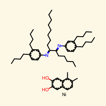 CCCCCCCCC(=Nc1ccc(CCCC)c(CCCC)c1)C(CCCCC)=Nc1ccc(CCCC)c(CCCC)c1.Cc1ccc2cc(O)c(O)cc2c1C.[Ni]